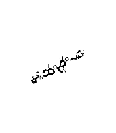 COc1cc2c(Oc3ccc4c(c3F)C=CC(=NC(=O)c3cccs3)C4)ccnc2cc1OCCCN1CCOCC1